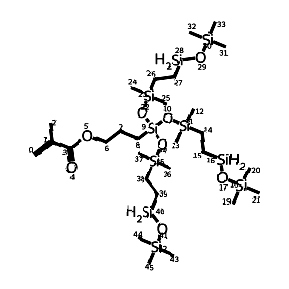 C=C(C)C(=O)OCCC[Si](O[Si](C)(C)CC[SiH2]O[Si](C)(C)C)(O[Si](C)(C)CC[SiH2]O[Si](C)(C)C)O[Si](C)(C)CC[SiH2]O[Si](C)(C)C